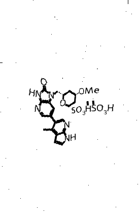 CO[C@@H]1CCO[C@H](Cn2c(=O)[nH]c3ncc(-c4cnc5[nH]ccc5c4C)cc32)C1.CS(=O)(=O)O.CS(=O)(=O)O